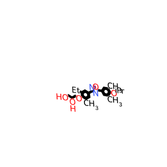 CCc1cc(-c2noc(-c3cc(C)c(OC(C)C)c(C)c3)n2)cc(C)c1OCC(O)CO